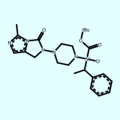 Cc1ncc2n1C(=O)N(N1CCN([N+]([O-])(C(=O)OC(C)(C)C)C(C)c3ccccc3)CC1)C2